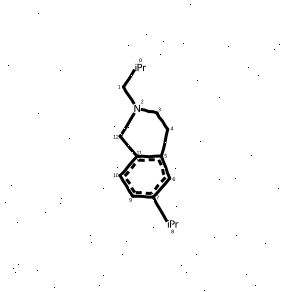 CC(C)CN1CCc2cc(C(C)C)ccc2C1